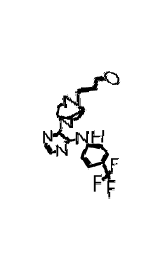 O=CC=CN1CC2CC1CN2c1nccnc1Nc1ccc(C(F)(F)F)cc1